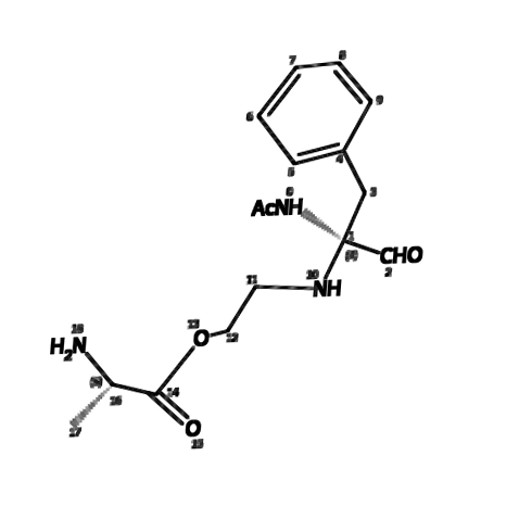 CC(=O)N[C@@](C=O)(Cc1ccccc1)NCCOC(=O)[C@H](C)N